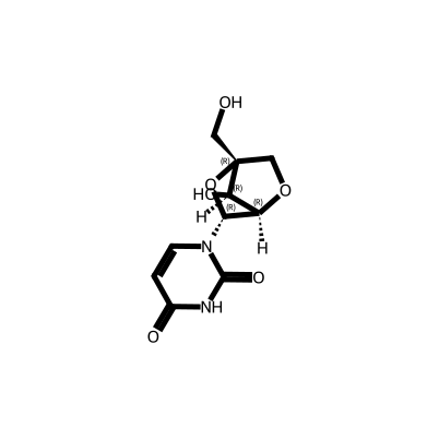 O=c1ccn([C@@H]2O[C@]3(CO)CO[C@@H]2[C@H]3O)c(=O)[nH]1